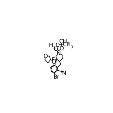 CC(C)(C)OC(=O)N1CCC(Cc2c(O[C@H]3CCOC3)ccc(Br)c2C#N)C(F)(F)C1